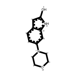 Oc1cc2ccc(N3CCOCC3)cc2[nH]1